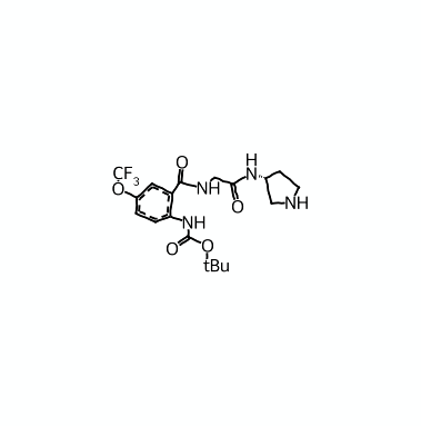 CC(C)(C)OC(=O)Nc1ccc(OC(F)(F)F)cc1C(=O)NCC(=O)N[C@@H]1CCNC1